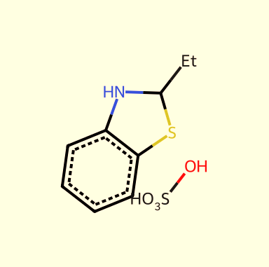 CCC1Nc2ccccc2S1.O=S(=O)(O)O